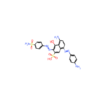 Nc1ccc(N=Nc2ccc(N)c3c(O)c(N=Nc4ccc(S(N)(=O)=O)cc4)c(S(=O)(=O)O)cc23)cc1